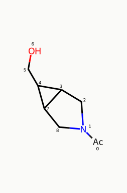 CC(=O)N1CC2C(CO)C2C1